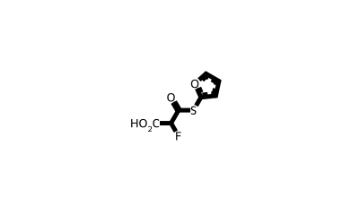 O=C(O)C(F)C(=O)Sc1ccco1